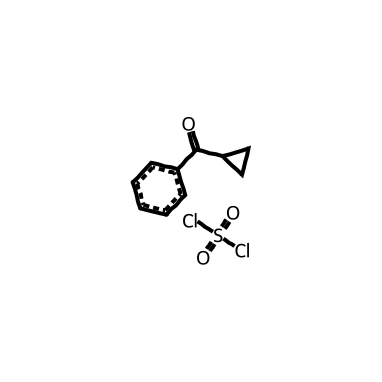 O=C(c1ccccc1)C1CC1.O=S(=O)(Cl)Cl